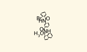 C[C@H](NC(=O)c1cccc(NC(=O)c2ccccc2Br)c1)c1cccc2ccccc12